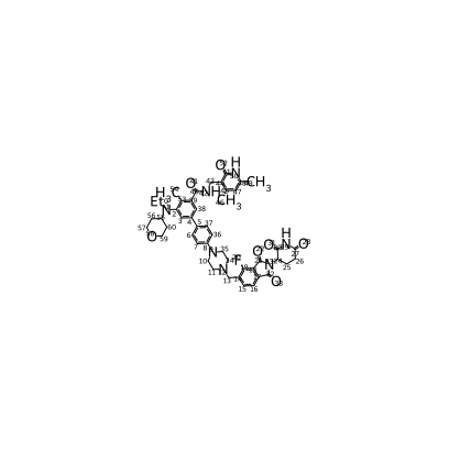 CCN(c1cc(-c2ccc(N3CCN(Cc4ccc5c(c4F)C(=O)N(C4CCC(=O)NC4=O)C5=O)CC3)cc2)cc(C(=O)NCc2c(C)cc(C)[nH]c2=O)c1C)C1CCOCC1